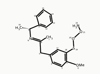 COc1ccc(C/C(C)=N/[C@H](C)c2ccccc2)cc1SOON